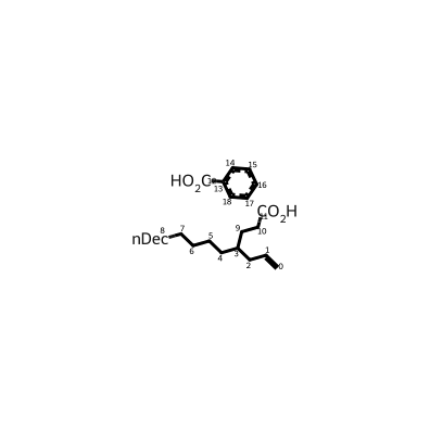 C=CCC(CCCCCCCCCCCCCC)CCC(=O)O.O=C(O)c1ccccc1